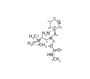 CNC(=O)OC[C@@](N)(CC[Si](C)(C)C)C[C@H]1CCCOC1